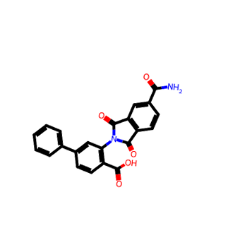 NC(=O)c1ccc2c(c1)C(=O)N(c1cc(-c3ccccc3)ccc1C(=O)O)C2=O